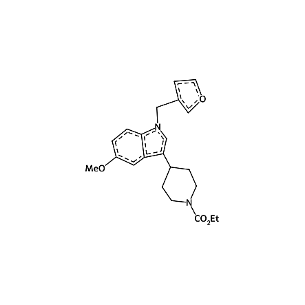 CCOC(=O)N1CCC(c2cn(Cc3ccoc3)c3ccc(OC)cc23)CC1